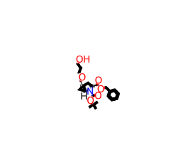 CC(C)(C)OC(=O)N1[C@H]2C[C@@]2(COCCCO)C[C@H]1C(=O)OCc1ccccc1